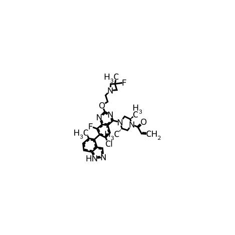 C=CC(=O)N1C[C@H](C)N(c2nc(OCCN3CC(C)(F)C3)nc3c(F)c(-c4c(C)ccc5[nH]ncc45)c(Cl)cc23)C[C@H]1C